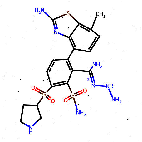 Cc1ccc(-c2ccc(S(=O)(=O)C3CCNC3)c(S(N)(=O)=O)c2/C(N)=N/NN)c2nc(N)sc12